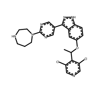 CC(Oc1ccc2[nH]nc(-c3cnc(N4CCCNCC4)nc3)c2c1)c1c(Cl)cncc1Cl